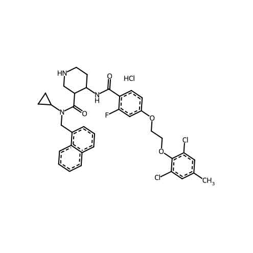 Cc1cc(Cl)c(OCCOc2ccc(C(=O)NC3CCNCC3C(=O)N(Cc3cccc4ccccc34)C3CC3)c(F)c2)c(Cl)c1.Cl